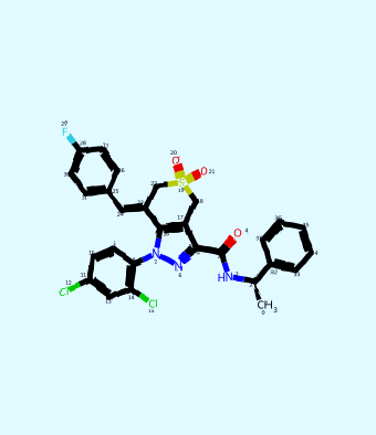 C[C@@H](NC(=O)c1nn(-c2ccc(Cl)cc2Cl)c2c1CS(=O)(=O)C/C2=C\c1ccc(F)cc1)c1ccccc1